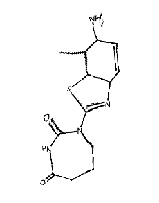 CC1C(N)C=CC2N=C(N3CCCC(=O)NC3=O)SC21